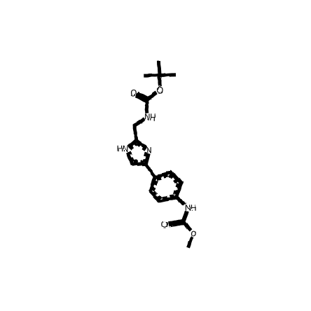 COC(=O)Nc1ccc(-c2c[nH]c(CNC(=O)OC(C)(C)C)n2)cc1